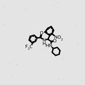 O=C(NC(C(=O)NC1CCCCC1)c1ccccc1[N+](=O)[O-])c1cccc(C(F)(F)F)c1